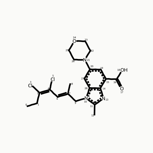 CC/C(Cl)=C(Cl)\C=C(/C)Cn1c(C)nc2c(C(=O)O)cc(N3CCOCC3)cc21